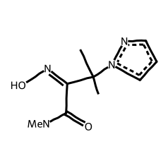 CNC(=O)C(=NO)C(C)(C)n1cccn1